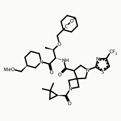 COC[C@H]1CCCN(C(=O)[C@@H](NC(=O)C2CN(c3nc(C(F)(F)F)cs3)CC23CN(C(=O)[C@H]2CC2(C)C)C3)[C@@H](C)OCC23CCC(CC2)OC3)C1